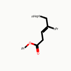 CCCCCCCCC(=CCC(=O)OC(C)C)CCC